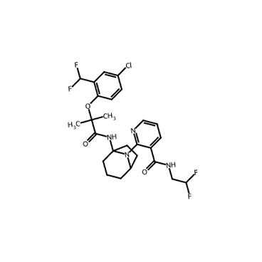 CC(C)(Oc1ccc(Cl)cc1C(F)F)C(=O)NC12CCCC(CC1)N2c1ncccc1C(=O)NCC(F)F